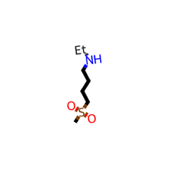 CCNCCCCS(C)(=O)=O